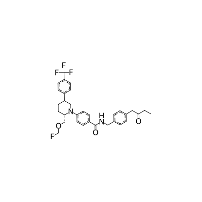 CCC(=O)Cc1ccc(CNC(=O)c2ccc(N3CC(c4ccc(C(F)(F)F)cc4)CC[C@H]3COCF)cc2)cc1